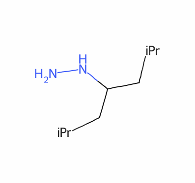 CC(C)CC(CC(C)C)NN